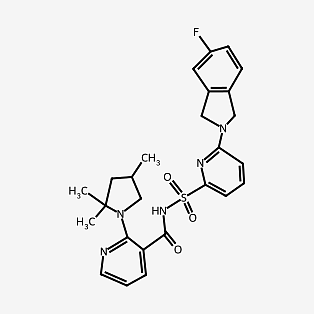 CC1CN(c2ncccc2C(=O)NS(=O)(=O)c2cccc(N3Cc4ccc(F)cc4C3)n2)C(C)(C)C1